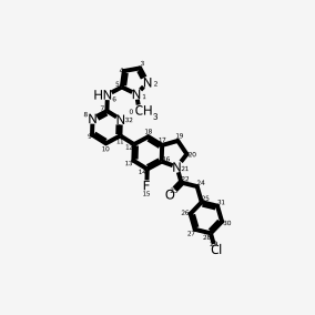 Cn1nccc1Nc1nccc(-c2cc(F)c3c(c2)CCN3C(=O)Cc2ccc(Cl)cc2)n1